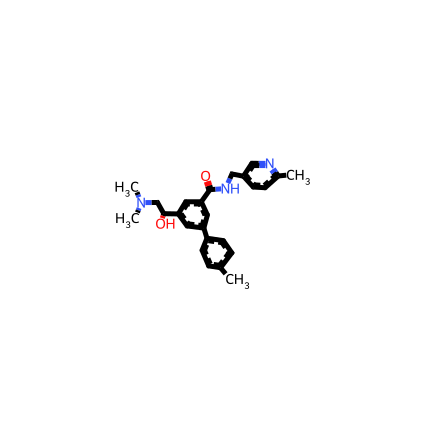 Cc1ccc(-c2cc(C(=O)NCc3ccc(C)nc3)cc(C(O)CN(C)C)c2)cc1